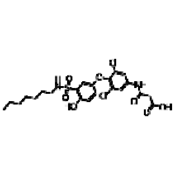 CCCCCCCNS(=O)(=O)c1cc(Oc2c(Cl)cc(NC(=O)CC(=O)O)cc2Cl)ccc1O